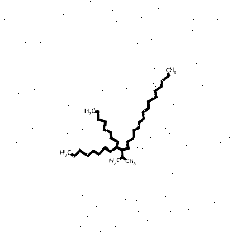 CCCCCCCCCCCCCCCCC(C(C)C)C(CCCCCCCC)CCCCCCCC